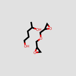 C(OCC1CO1)C1CO1.CC(O)CCCO